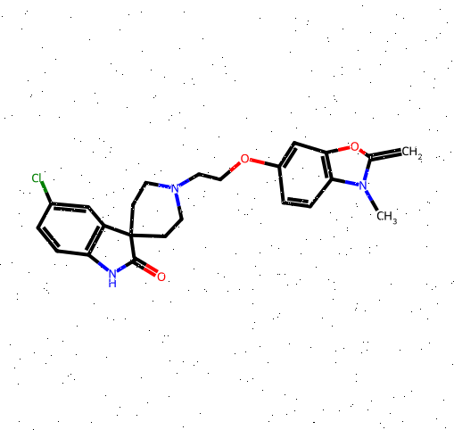 C=C1Oc2cc(OCCN3CCC4(CC3)C(=O)Nc3ccc(Cl)cc34)ccc2N1C